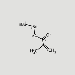 C=C(C)C(=O)[O][Sn][CH2]CCC